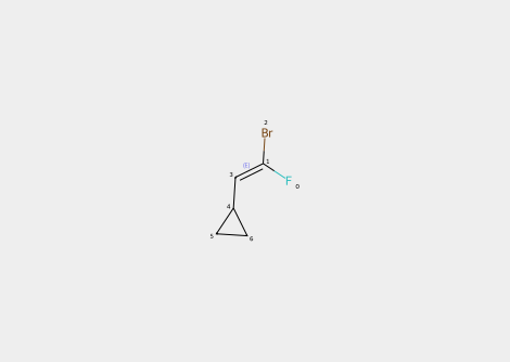 F/C(Br)=C\C1CC1